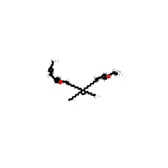 C#CCOc1ccc(C(=O)OCC2C[C@@H]3C4CC(CC4COC(=O)CCCCCCCCC4C(CCCCCCCC)CCC(CCCCCC)C4CCCCCCCCC(=O)OCC4C[C@@H]5C6CC(CC6COC(=O)C(=C)C)[C@@H]5C4)[C@@H]3C2)cc1